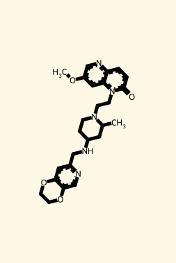 COc1cnc2ccc(=O)n(CCN3CCC(NCc4cc5c(cn4)OCCO5)CC3C)c2c1